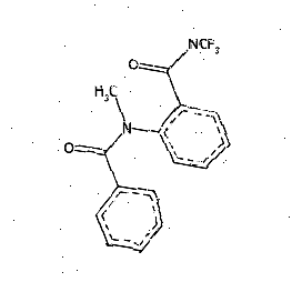 CN(C(=O)c1ccccc1)c1ccccc1C(=O)NC(F)(F)F